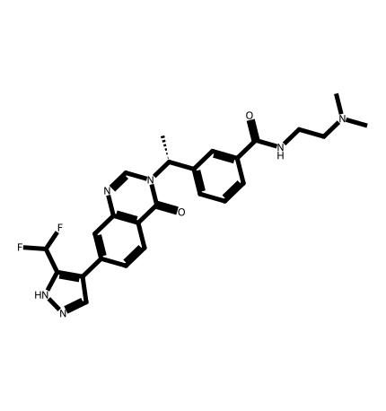 C[C@H](c1cccc(C(=O)NCCN(C)C)c1)n1cnc2cc(-c3cn[nH]c3C(F)F)ccc2c1=O